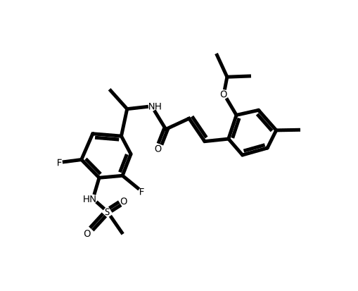 Cc1ccc(/C=C/C(=O)NC(C)c2cc(F)c(NS(C)(=O)=O)c(F)c2)c(OC(C)C)c1